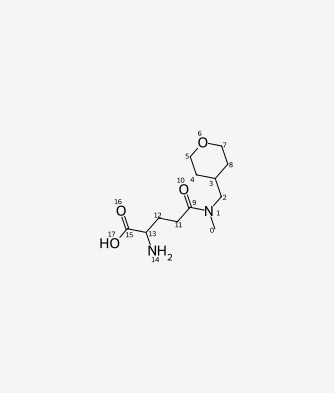 CN(CC1CCOCC1)C(=O)CCC(N)C(=O)O